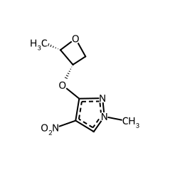 C[C@@H]1OC[C@@H]1Oc1nn(C)cc1[N+](=O)[O-]